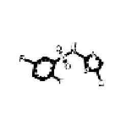 O=S(=O)(Nc1ncc(Cl)s1)c1cc(F)ccc1F